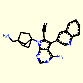 C#Cc1c(-c2cnc3ccccc3c2)c2c(N)ncnc2n1C12CCC(CN)(CC1)C2